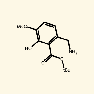 COc1ccc(CN)c(C(=O)OC(C)(C)C)c1O